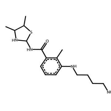 Cc1c(NCCCCN)cccc1C(=O)NC1NC(C)C(C)S1